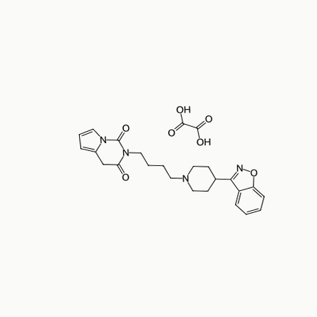 O=C(O)C(=O)O.O=C1Cc2cccn2C(=O)N1CCCCN1CCC(c2noc3ccccc23)CC1